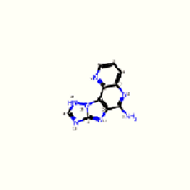 Nc1nc2cccnc2c2c1nc1nc[nH]n12